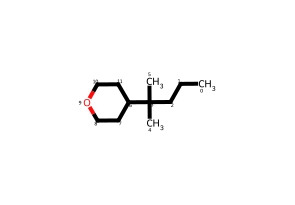 CCCC(C)(C)C1CCOCC1